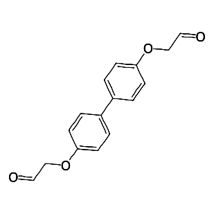 O=CCOc1ccc(-c2ccc(OCC=O)cc2)cc1